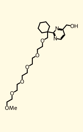 COCCOCCOCCOCCOCCOCC1(c2nccc(CO)n2)CCCCC1